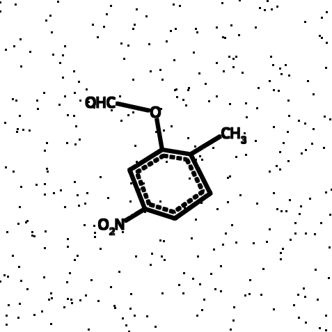 Cc1ccc([N+](=O)[O-])cc1OC=O